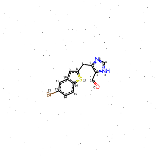 O=Cc1[nH]cnc1Cc1cc2cc(Br)ccc2s1